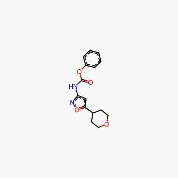 O=C(Nc1cc(C2CCOCC2)on1)Oc1ccccc1